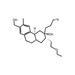 CCOCC[C@@H]1CN2CCc3cc(CO)c(C)cc3[C@H]2C[C@]1(O)CCC[19F]